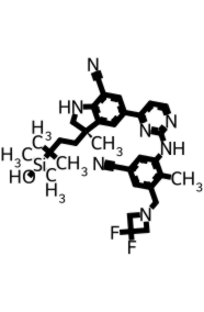 Cc1c(CN2CC(F)(F)C2)cc(C#N)cc1Nc1nccc(-c2cc(C#N)c3c(c2)[C@@](C)(CCC(C)(C)[Si](C)(C)O)CN3)n1